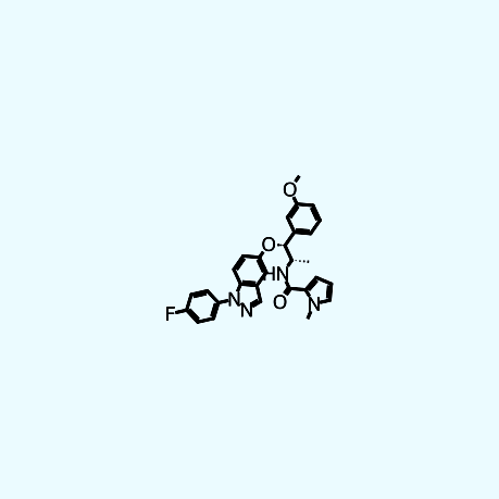 COc1cccc([C@@H](Oc2ccc3c(cnn3-c3ccc(F)cc3)c2)[C@H](C)NC(=O)c2cccn2C)c1